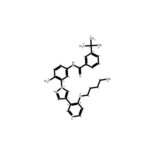 Cc1ccc(NC(=O)c2cccc(C(C)(C)C#N)c2)cc1-n1cc(-c2cnccc2OCCCCO)cn1